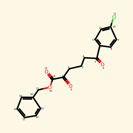 O=C(CCCC(=O)c1ccc(Cl)cc1)C(=O)OCc1ccccc1